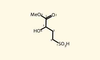 COC(=O)C(O)CCS(=O)(=O)O